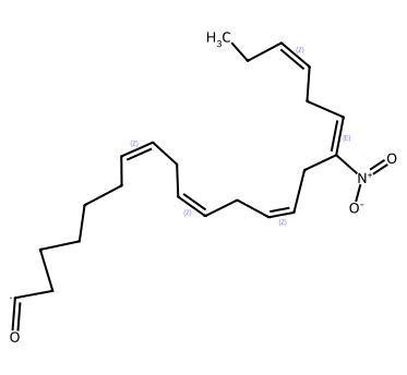 CC/C=C\C/C=C(\C/C=C\C/C=C\C/C=C\CCCCC[C]=O)[N+](=O)[O-]